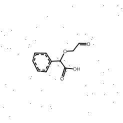 O=CCOC(C(=O)O)c1ccccc1